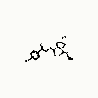 CC(C)(C)OC(=O)N1C[C@@H](C#N)C[C@H]1C(=O)OCC(=O)c1ccc(Br)cc1